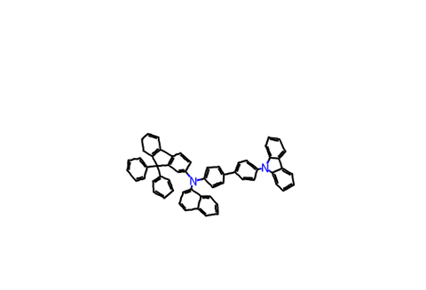 C1=CC2=C(CC1)C(c1ccccc1)(c1ccccc1)c1cc(N(c3ccc(-c4ccc(-n5c6ccccc6c6ccccc65)cc4)cc3)c3cccc4ccccc34)ccc12